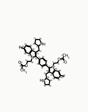 CC(=O)OCCn1c(-c2ccc(-c3c(CC4CCCN4)c4ccc(F)cc4n3CCOC(C)=O)cc2)c(CC2CCCN2)c2ccc(F)cc21